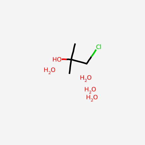 CC(C)(O)CCl.O.O.O.O